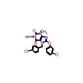 CCCn1c(=O)c2c(nc(Oc3cccc(Cl)c3)n2Cc2ccc(Cl)cc2)n(C)c1=O